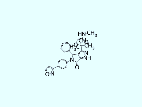 CNC(=O)COc1ccccc1C1c2c(C(C)(C)C)n[nH]c2C(=O)N1c1ccc(-c2ccon2)cc1